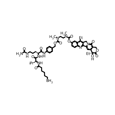 BCCCCCC(=O)N[C@H](C(=O)N[C@@H](CCCNC(N)=O)C(=O)Nc1ccc(COC(=O)N(C)CCN(C)C(=O)Oc2ccc3nc4c(c(CC)c3c2)Cn2c-4cc3c(c2=O)COC(=O)[C@]3(O)CC)cc1)C(C)C